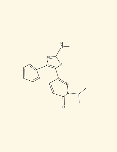 CNc1nc(-c2ccccc2)c(-c2ccc(=O)n(C(C)C)n2)s1